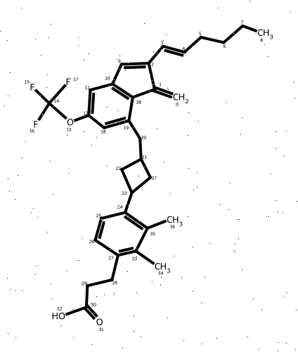 C=C1C(/C=C/CCCC)=Cc2cc(OC(F)(F)F)cc(CC3CC(c4ccc(CCC(=O)O)c(C)c4C)C3)c21